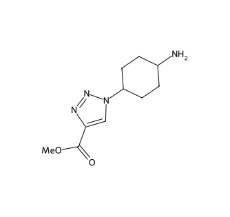 COC(=O)c1cn(C2CCC(N)CC2)nn1